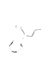 CC=CN(Cl)[13c]1ccccc1